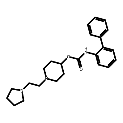 O=C(Nc1ccccc1-c1ccccc1)OC1CCN(CCN2CCCC2)CC1